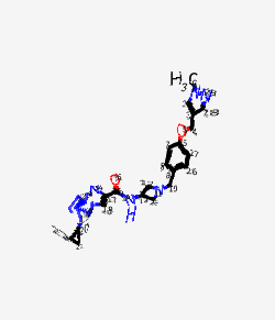 Cn1cc(COc2ccc(CN3CC(NC(=O)c4cn(C5CC5)nn4)C3)cc2)cn1